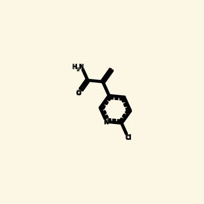 C=C(C(N)=O)c1ccc(Cl)nc1